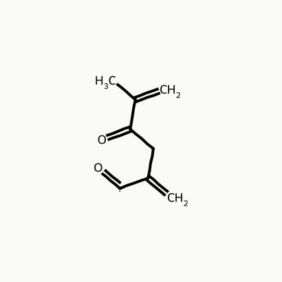 C=C([C]=O)CC(=O)C(=C)C